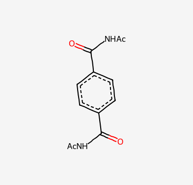 CC(=O)NC(=O)c1ccc(C(=O)NC(C)=O)cc1